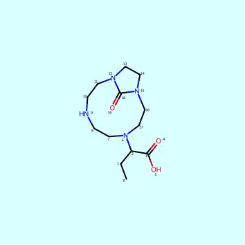 CCC(C(=O)O)N1CCNCCN2CCN(CC1)C2=O